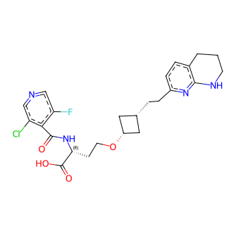 O=C(N[C@H](CCO[C@H]1C[C@@H](CCc2ccc3c(n2)NCCC3)C1)C(=O)O)c1c(F)cncc1Cl